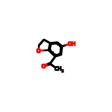 CC(=O)c1cc(O)cc2c1OCC2